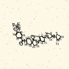 Cc1cc(N2CC[C@@H](N3CCC[C@@H]3C)C2)ccc1N1CCC2(CCN(C(=O)c3ccc(OC(F)(F)F)cc3)CC2)C1=O